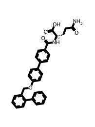 NC(=O)CC[C@H](NC(=O)c1ccc(-c2ccc(OCc3ccccc3-c3ccccc3)cc2)cc1)C(=O)O